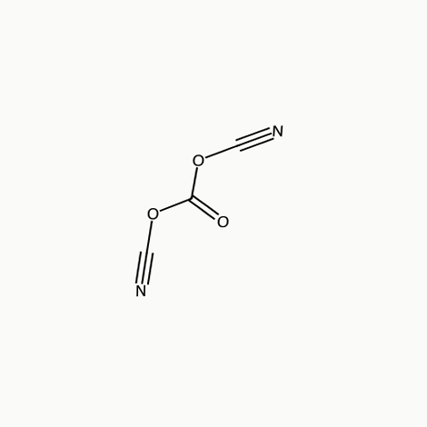 N#COC(=O)OC#N